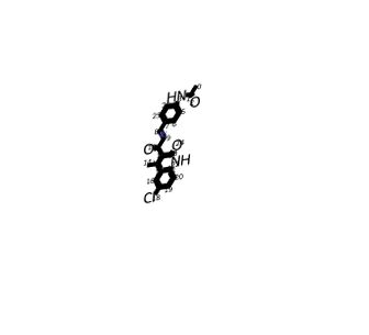 CC(=O)Nc1ccc(/C=C/C(=O)c2c(C)c3cc(Cl)ccc3[nH]c2=O)cc1